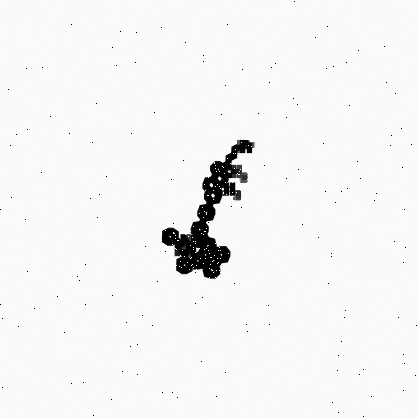 CC(C)CCCCC1CCC2C3CCC4CC(c5ccc(-c6ccc7c(c6)c6ccc8c(c6n7-c6nc(-c7ccccc7)nc(-c7ccccc7)n6)-c6ccccc6C86c7ccccc7-c7ccccc76)cc5)CCC4(C)C3CCC12C